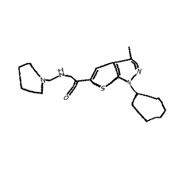 Cc1nn(C2CCCCC2)c2sc(C(=O)NN3CCCC3)cc12